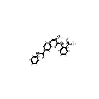 CC(=Cc1ccc(C(=O)Nc2ccccc2)cc1)C(=O)Nc1ccccc1C(=O)O